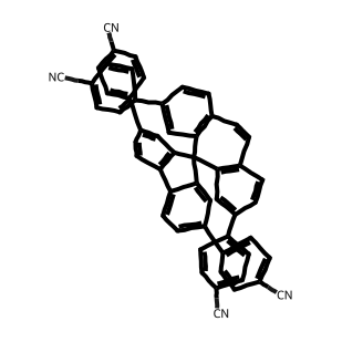 N#Cc1ccc(-c2ccc3c(c2)C2(c4cc(-c5ccc(C#N)cc5)ccc4C=C3)c3cc(-c4ccc(C#N)cc4)ccc3-c3ccc(-c4ccc(C#N)cc4)cc32)cc1